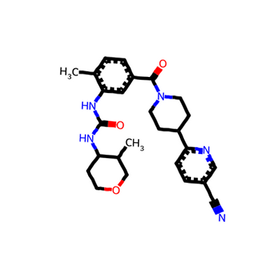 Cc1ccc(C(=O)N2CCC(c3ccc(C#N)cn3)CC2)cc1NC(=O)NC1CCOCC1C